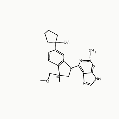 COC[C@@]1(C)CN(c2nc(N)nc3[nH]cnc23)c2cc(C3(O)CCCC3)ccc21